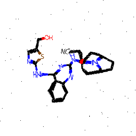 N#CCCN1C2CCC1CC(Nc1nc(Nc3ncc(CO)s3)c3ccccc3n1)C2